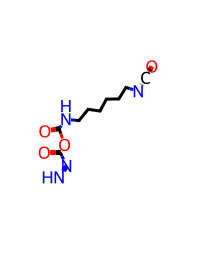 N=NC(=O)OC(=O)NCCCCCCN=C=O